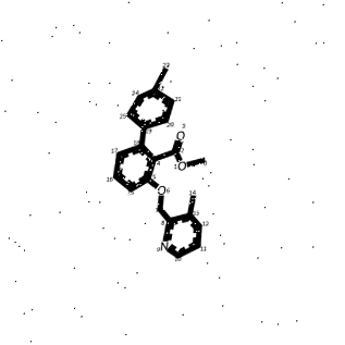 COC(=O)c1c(OCc2ncccc2C)cccc1-c1ccc(C)cc1